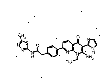 CCn1c(N)c(-c2ncc[nH]2)c(=O)c2ccc(-c3ccc(CC(=O)Nc4nnc(C)s4)cc3)nc21